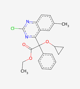 CCOC(=O)C(OC1CC1)(c1ccccc1)c1nc(Cl)nc2ccc(C)cc12